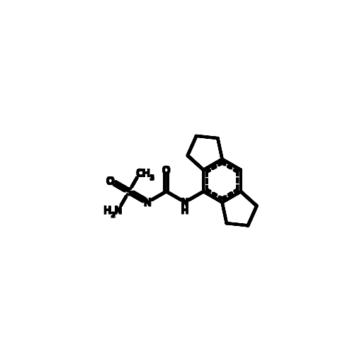 CS(N)(=O)=NC(=O)Nc1c2c(cc3c1CCC3)CCC2